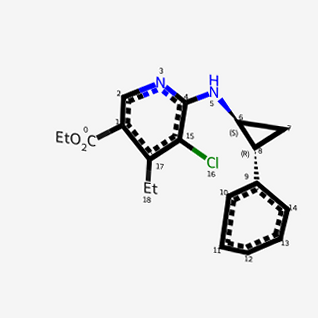 CCOC(=O)c1cnc(N[C@H]2C[C@@H]2c2ccccc2)c(Cl)c1CC